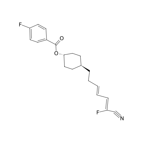 N#C/C(F)=C/C=C/CC[C@H]1CC[C@H](OC(=O)c2ccc(F)cc2)CC1